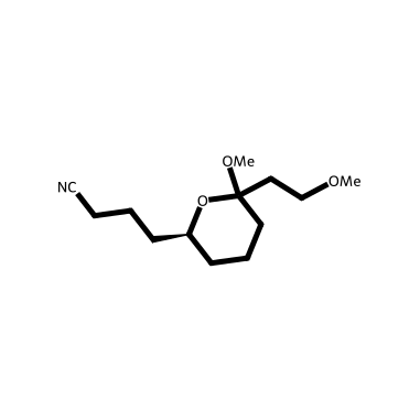 COCCC1(OC)CCC[C@@H](CCCC#N)O1